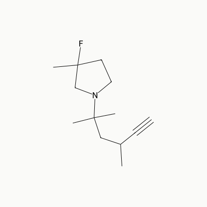 C#CC(C)CC(C)(C)N1CCC(C)(F)C1